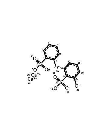 O=S(=O)([O-])c1ccccc1[O-].O=S(=O)([O-])c1ccccc1[O-].[Ca+2].[Ca+2]